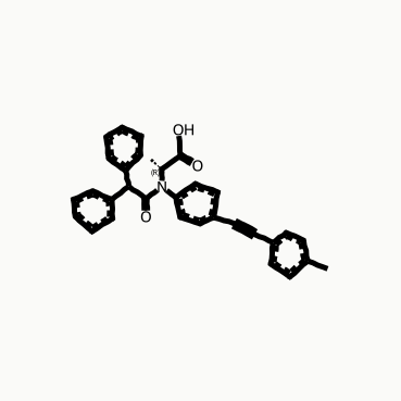 Cc1ccc(C#Cc2ccc(N(C(=O)C(c3ccccc3)c3ccccc3)[C@H](C)C(=O)O)cc2)cc1